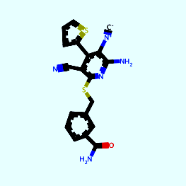 [C-]#[N+]c1c(N)nc(SCc2cccc(C(N)=O)c2)c(C#N)c1-c1cccs1